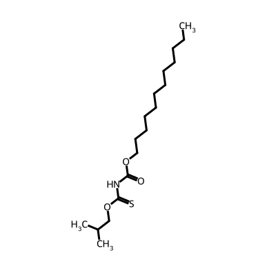 CCCCCCCCCCCCOC(=O)NC(=S)OCC(C)C